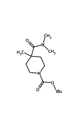 CN(C)C(=O)C1(C)CCN(C(=O)OC(C)(C)C)CC1